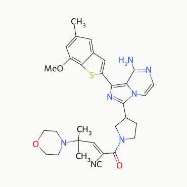 COc1cc(C)cc2cc(-c3nc(C4CCN(C(=O)C(C#N)=CC(C)(C)N5CCOCC5)C4)n4ccnc(N)c34)sc12